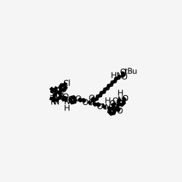 CC1=C(C)C2C(c3ccc(Cl)cc3)=N[C@@H](CC(=O)Nc3ccc(OCCOCCN(CCOCCNc4cccc5c4C(=O)N(C4CCC(=O)NC4=O)C5=O)C(=O)CCCCCCCCCCCCCNC(=O)OC(C)(C)C)cc3)c3nnc(C)n3C2S1